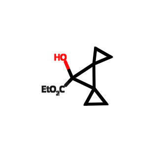 CCOC(=O)C1(O)C2(CC2)C12CC2